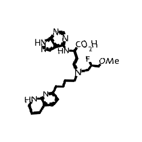 COCC(F)CN(CCCCc1ccc2c(n1)NCCC2)CCC(Nc1ncnc2[nH]ncc12)C(=O)O